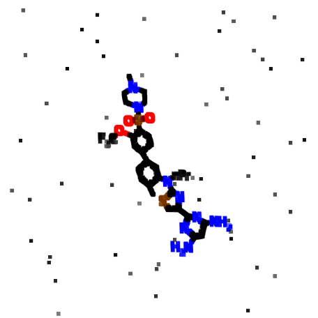 CCCN(c1nc(-c2nc(N)cc(N)n2)cs1)c1cc(-c2ccc(S(=O)(=O)N3CCN(C)CC3)c(OC(F)(F)F)c2)ccc1C